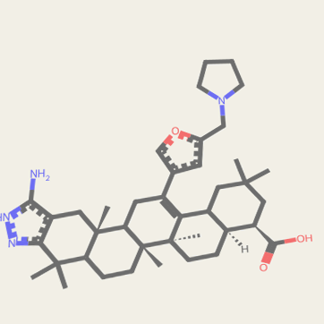 CC1(C)CC2C3=C(c4coc(CN5CCCC5)c4)CC4[C@@]5(C)Cc6c(n[nH]c6N)C(C)(C)C5CC[C@@]4(C)[C@]3(C)CC[C@@H]2[C@H](C(=O)O)C1